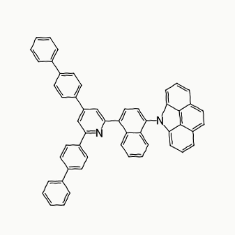 c1ccc(-c2ccc(-c3cc(-c4ccc(-c5ccccc5)cc4)nc(-c4ccc(-n5c6cccc7ccc8cccc5c8c76)c5ccccc45)c3)cc2)cc1